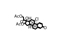 CC(=O)OCC(=O)[C@@]1(O)[C@H](OC(C)=O)C[C@H]2[C@@H]3CCC4=CC(=O)C=C[C@]4(C)[C@@]3(Cl)[C@@H](Cl)C[C@@]21C